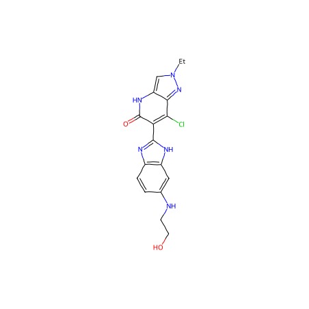 CCn1cc2[nH]c(=O)c(-c3nc4ccc(NCCO)cc4[nH]3)c(Cl)c2n1